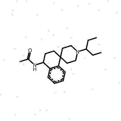 CCC(CC)N1CCC2(CCC(NC(C)=O)c3ccccc32)CC1